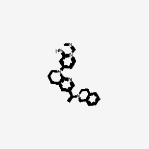 C=C(c1cnc2c(c1)CCCN2c1ccn(/C=N\C)c(=N)c1)N1CCc2ccccc2C1